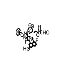 C#Cc1c(F)ccc2cc(O)cc(-c3ncc4c(N5CCS(=O)(=O)C[C@H](C=CC(=O)NC=O)C5)nc(OCC56CCCN5CCC6)nc4c3F)c12